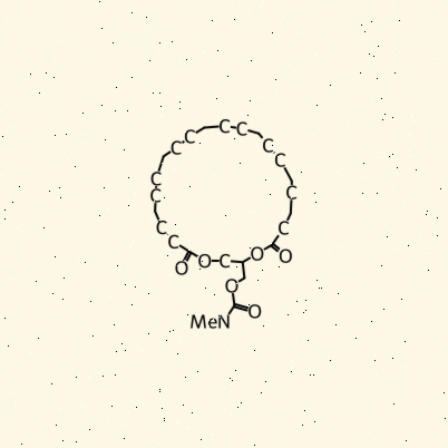 CNC(=O)OCC1COC(=O)CCCCCCCCCCCCCCCCCCC(=O)O1